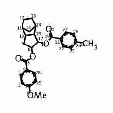 COc1ccc(C(=O)OC2CC3C4CCC(C4)C3C2OC(=O)c2ccc(C)cc2)cc1